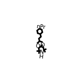 CCCC1CCC(CCC2COC3(CC(C)(C)NC(C)(C)C3)OC2)CC1